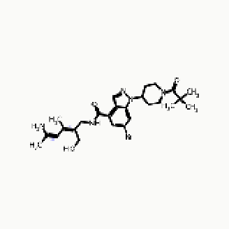 C/C(N)=C/C(C)=C(\CO)CNC(=O)c1cc(Br)cc2c1cnn2C1CCN(C(=O)C(C)(C)C)CC1